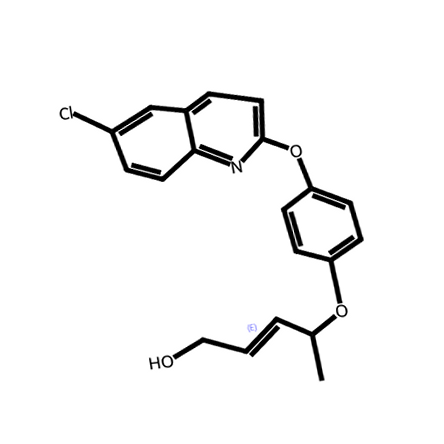 CC(/C=C/CO)Oc1ccc(Oc2ccc3cc(Cl)ccc3n2)cc1